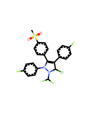 CS(=O)(=O)c1ccc(C2=C(c3ccc(F)cc3)C(Cl)N(C(F)F)N2c2ccc(F)cc2)cc1